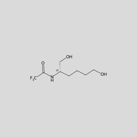 O=C(N[C@H](CO)CCCCO)C(F)(F)F